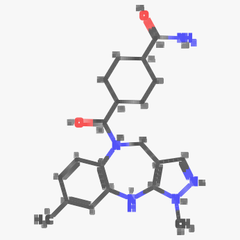 Cc1ccc2c(c1)Nc1c(cnn1C)CN2C(=O)C1CCC(C(N)=O)CC1